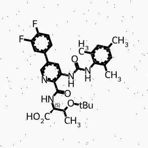 Cc1cc(C)c(NC(=O)Nc2cc(-c3ccc(F)c(F)c3)cnc2C(=O)N[C@H](C(=O)O)C(C)OC(C)(C)C)c(C)c1